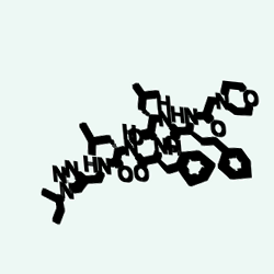 CCC(C)n1cc(CNC(=O)[C@H](CC(C)C)NC(=O)[C@H](Cc2ccccc2)NC(=O)[C@H](CC(C)C)NC(=O)[C@H](CCc2ccccc2)NC(=O)CN2CCOCC2)nn1